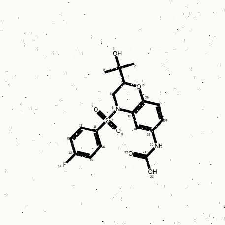 CC(C)(O)C1CN(S(=O)(=O)c2ccc(F)cc2)c2cc(NC(=O)O)ccc2O1